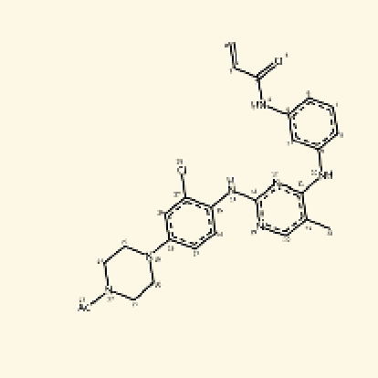 C=CC(=O)Nc1cccc(Nc2nc(Nc3ccc(N4CCN(C(C)=O)CC4)cc3Cl)ncc2C)c1